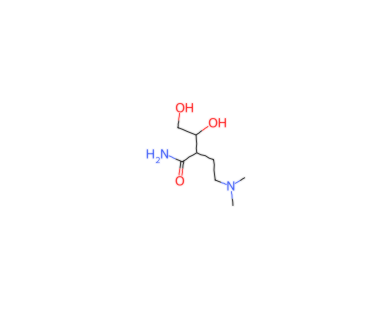 CN(C)CCC(C(N)=O)C(O)CO